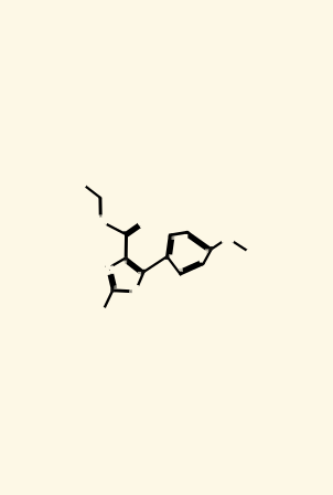 CCOC(=O)c1nc(C)oc1-c1ccc(OC)cc1